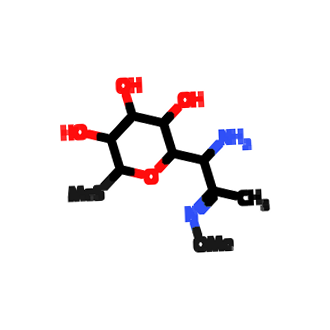 CON=C(C)C(N)C1OC(SC)C(O)C(O)C1O